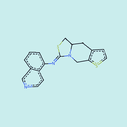 c1cc(N=C2SCC3Cc4ccsc4CN23)c2ccncc2c1